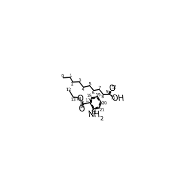 CCCCCCCCCC(=O)O.CCOC(=O)c1ccccc1N